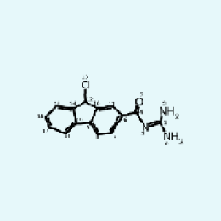 NC(N)=NC(=O)c1ccc2c(c1)C(Cl)c1ccccc1-2